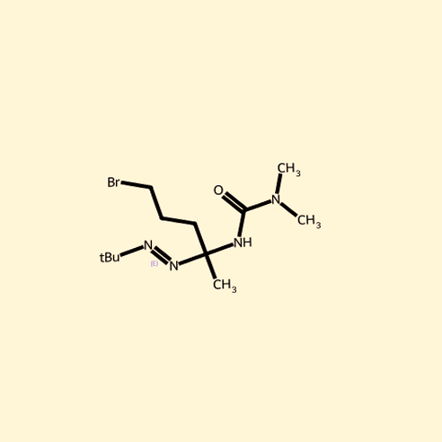 CN(C)C(=O)NC(C)(CCCBr)/N=N/C(C)(C)C